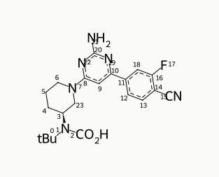 CC(C)(C)N(C(=O)O)[C@H]1CCCN(c2cc(-c3ccc(C#N)c(F)c3)nc(N)n2)C1